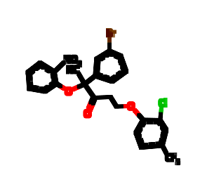 N#CC(Oc1ccccc1[N+](=O)[O-])(C(=O)CCOc1ccc(C(F)(F)F)cc1Cl)c1cccc(Br)c1